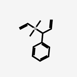 C=CC(c1ccccc1)[Si](C)(C)C=C